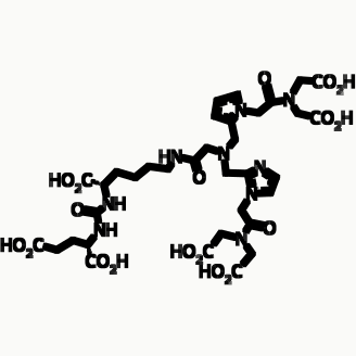 O=C(O)CC[C@H](NC(=O)N[C@@H](CCCCNC(=O)CN(Cc1cccn1CC(=O)N(CC(=O)O)CC(=O)O)Cc1nccn1CC(=O)N(CC(=O)O)CC(=O)O)C(=O)O)C(=O)O